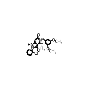 COc1cc(Cn2c(C)c3c(=O)n(-c4ccccc4Cl)[nH]c3cc2=O)cc(OC)c1